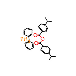 CC(C)c1ccc(C(=O)OC(=O)c2ccc(C(C)C)cc2)cc1.P.c1ccc(-c2ccccc2)cc1